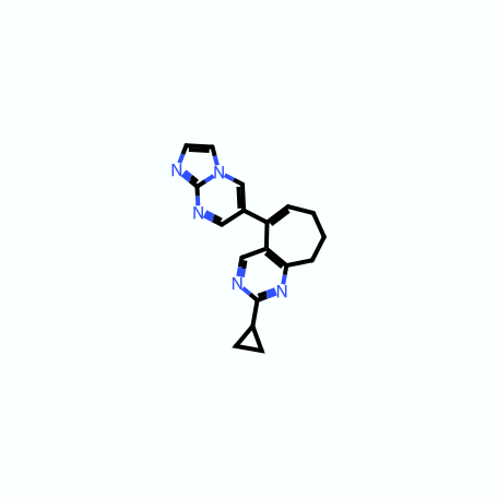 C1=C(c2cnc3nccn3c2)c2cnc(C3CC3)nc2CCC1